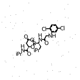 CC(C)C[C@H](NC(=O)CNc1cc(Cl)ccc1Cl)B1OC(=O)C[C@H](C(=O)NC(C)C)O1